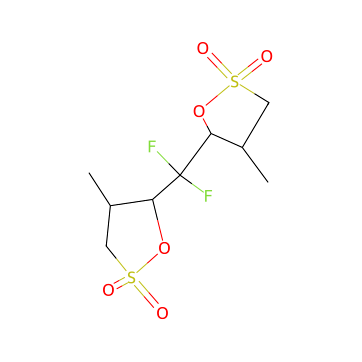 CC1CS(=O)(=O)OC1C(F)(F)C1OS(=O)(=O)CC1C